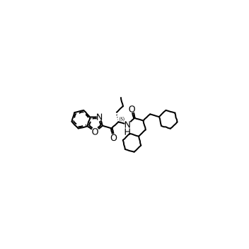 CCC[C@H](NC(=O)C(CC1CCCCC1)CC1CCCCC1)C(=O)c1nc2ccccc2o1